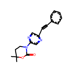 CC1(C)CCN(c2cnc(C#Cc3ccccc3)cn2)C(=O)O1